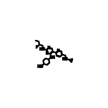 CC[C@H](F)CNc1ncc(-c2ccc(CNC3CC3)cn2)c(NC2CCC(O)CC2)n1